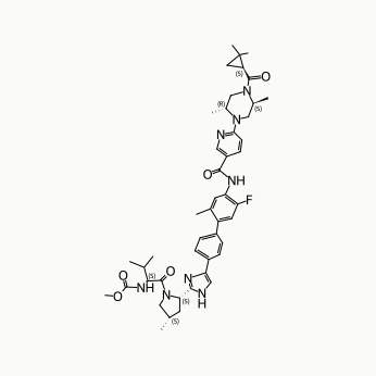 COC(=O)N[C@H](C(=O)N1C[C@@H](C)C[C@H]1c1nc(-c2ccc(-c3cc(F)c(NC(=O)c4ccc(N5C[C@H](C)N(C(=O)[C@H]6CC6(C)C)C[C@H]5C)nc4)cc3C)cc2)c[nH]1)C(C)C